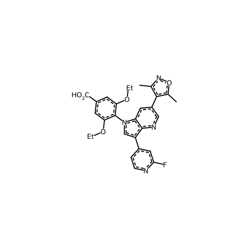 CCOc1cc(C(=O)O)cc(OCC)c1-n1cc(-c2ccnc(F)c2)c2ncc(-c3c(C)noc3C)cc21